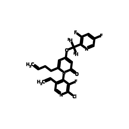 [2H]C([2H])(Oc1cc(CCC=C)n(-c2c(C=C)cnc(Cl)c2F)c(=O)c1)c1ncc(F)cc1F